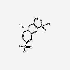 O=S(=O)(O)c1ccc2cc(O)c(S(=O)(=O)O)cc2c1.[K].[K]